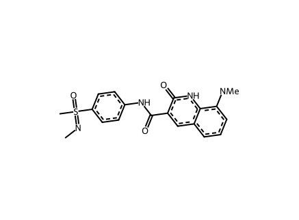 CN=S(C)(=O)c1ccc(NC(=O)c2cc3cccc(NC)c3[nH]c2=O)cc1